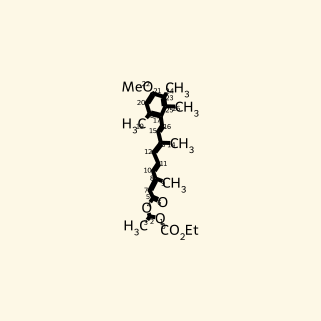 CCOC(=O)OC(C)OC(=O)/C=C(C)/C=C/C=C(C)/C=C/c1c(C)cc(OC)c(C)c1C